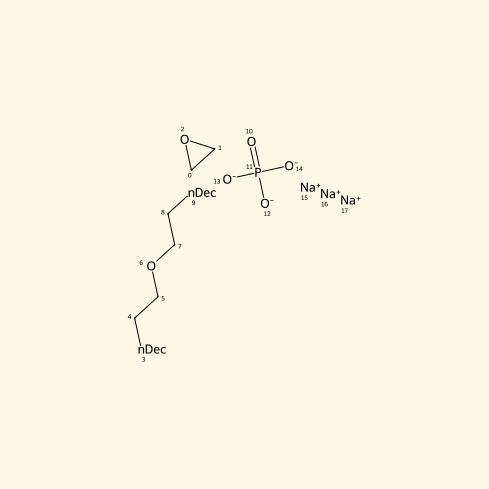 C1CO1.CCCCCCCCCCCCOCCCCCCCCCCCC.O=P([O-])([O-])[O-].[Na+].[Na+].[Na+]